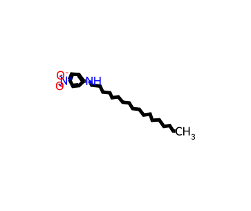 CCCCCCCCCCCCCCCCCCNc1ccc([N+](=O)[O-])cc1